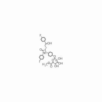 COC(=O)[C@H]1O[C@@H](Oc2ccc([C@@H]3C(CC[C@H](O)c4ccc(F)cc4)C(=O)N3c3ccc(I)cc3)cc2)[C@H](O)[C@@H](O)[C@@H]1O